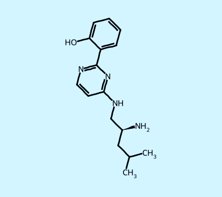 CC(C)C[C@H](N)CNc1ccnc(-c2ccccc2O)n1